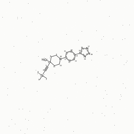 C[Si](C)(C)C#CC1(O)CCN(c2[c]cc(-n3cnnn3)cc2)CC1